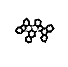 c1ccc2c3c4c(cc2c1)-n1c2c(cccc2c2c5ccccc5c5ccccc5c21)B4c1cccc2c4ccccc4n-3c12